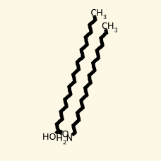 CCCCCCCCCCCCCCCCCCCC(=O)O.CCCCCCCCCCCCCCCCCCN